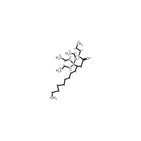 CCCCCCCCCC(CC(=O)SCCC)[Si](OCC)(OCC)OCC